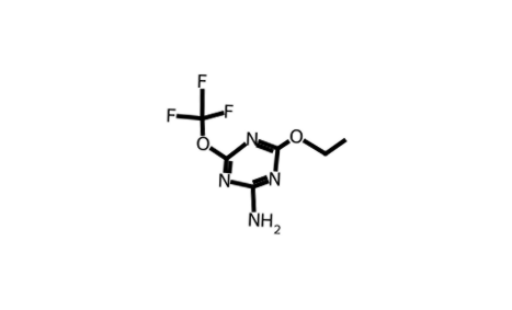 CCOc1nc(N)nc(OC(F)(F)F)n1